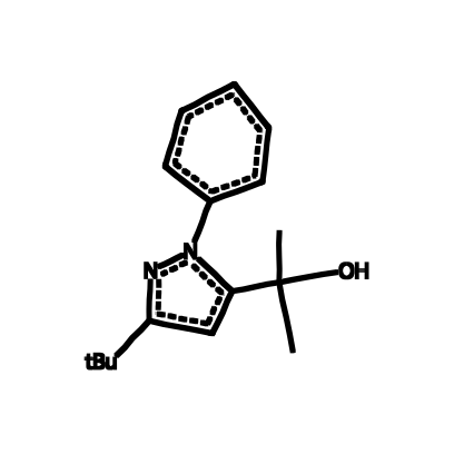 CC(C)(C)c1cc(C(C)(C)O)n(-c2ccccc2)n1